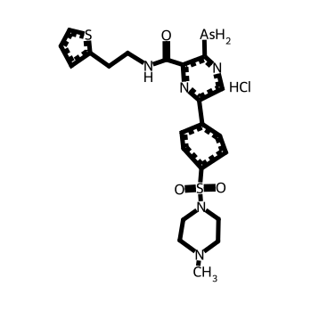 CN1CCN(S(=O)(=O)c2ccc(-c3cnc([AsH2])c(C(=O)NCCc4cccs4)n3)cc2)CC1.Cl